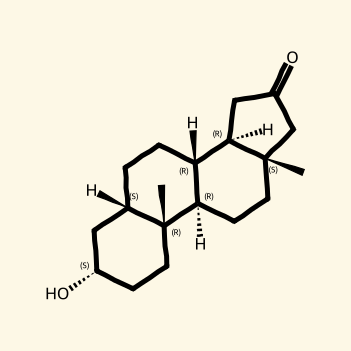 C[C@@]12CC[C@@H]3[C@H](CC[C@H]4C[C@@H](O)CC[C@]43C)[C@H]1CC(=O)C2